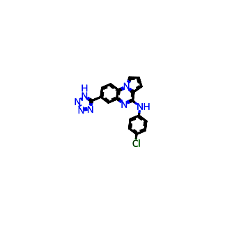 Clc1ccc(Nc2nc3cc(-c4nnn[nH]4)ccc3n3cccc23)cc1